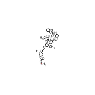 CCOC(=O)CN1CCC(C)(CCCOc2ccc(-c3ccc(N4CCc5cccc(C(=O)Nc6nc7ccccc7s6)c5C4)nc3C(=O)OC(C)(C)C)c(C)c2)CC1